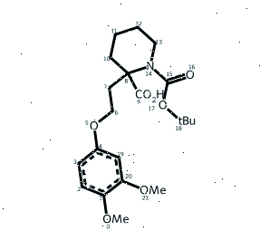 COc1ccc(OCCC2(C(=O)O)CCCCN2C(=O)OC(C)(C)C)cc1OC